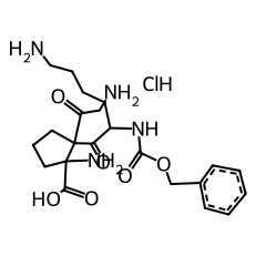 Cl.NCCCCC(NC(=O)OCc1ccccc1)C(=O)C1(C(=O)CN)CCCC1(N)C(=O)O